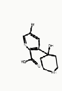 O=C(O)c1ncc(Br)cc1C1(O)CCNCC1